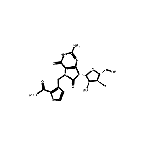 COC(=O)c1sccc1Cn1c(=O)n([C@@H]2O[C@H](CO)[C@@H](F)[C@H]2O)c2nc(N)[nH]c(=O)c21